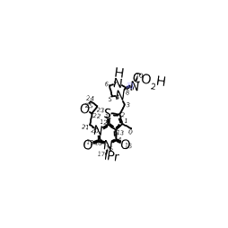 Cc1c(CN2CCN/C2=N\C(=O)O)sc2c1c(=O)n(C(C)C)c(=O)n2CC1CCO1